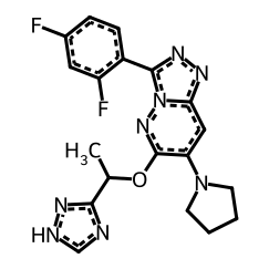 CC(Oc1nn2c(-c3ccc(F)cc3F)nnc2cc1N1CCCC1)c1nc[nH]n1